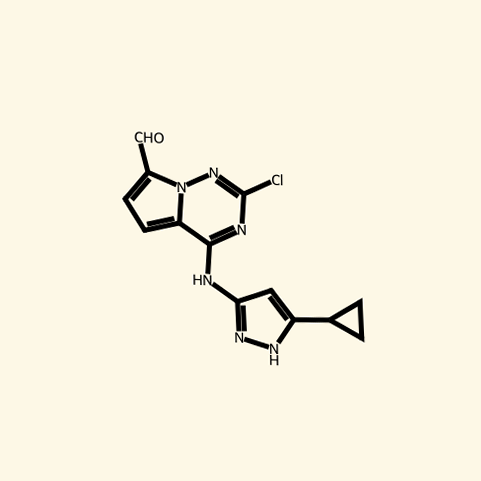 O=Cc1ccc2c(Nc3cc(C4CC4)[nH]n3)nc(Cl)nn12